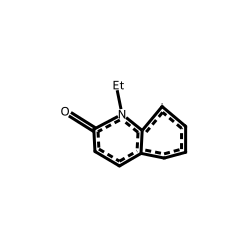 CCn1c(=O)ccc2ccc[c]c21